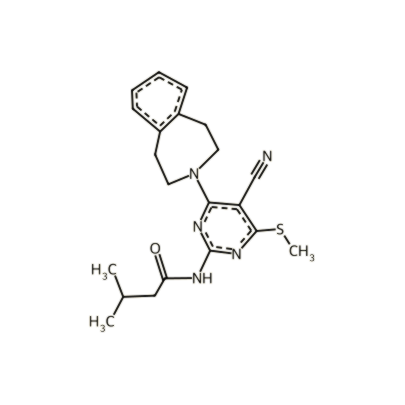 CSc1nc(NC(=O)CC(C)C)nc(N2CCc3ccccc3CC2)c1C#N